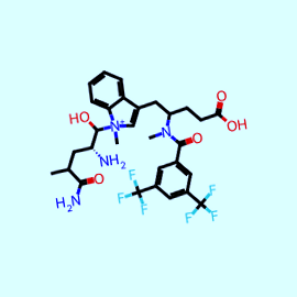 CC(C[C@@H](N)C(O)[N+]1(C)C=C(CC(CCC(=O)O)N(C)C(=O)c2cc(C(F)(F)F)cc(C(F)(F)F)c2)c2ccccc21)C(N)=O